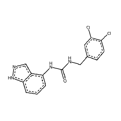 O=C(NCc1ccc(Cl)c(Cl)c1)Nc1cccc2[nH]ncc12